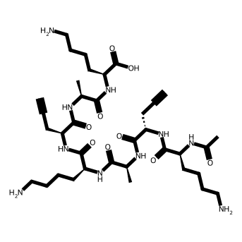 C#CC[C@H](NC(=O)[C@H](CCCCN)NC(C)=O)C(=O)N[C@@H](C)C(=O)N[C@@H](CCCCN)C(=O)N[C@@H](CC#C)C(=O)N[C@@H](C)C(=O)N[C@@H](CCCCN)C(=O)O